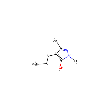 CCn1nc(C(C)=O)c(CCNC)c1O